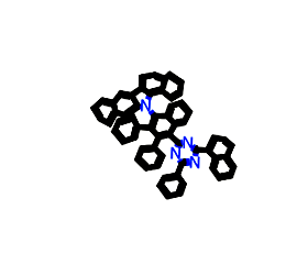 c1ccc(-c2nc(-c3cccc4ccccc34)nc(-c3c(-c4ccccc4)c(-c4ccccc4)c(-n4c5cc6ccccc6cc5c5ccc6ccccc6c54)c4ccccc34)n2)cc1